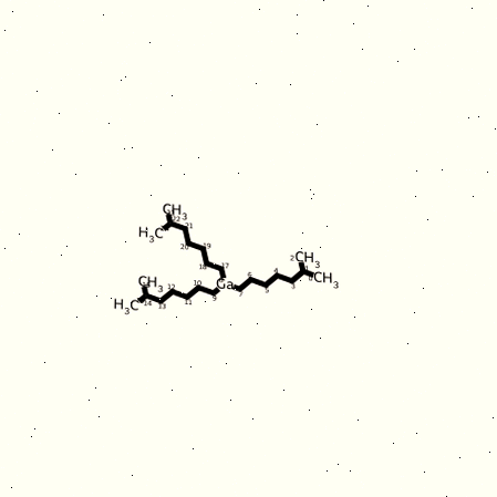 CC(C)CCCC[CH2][Ga]([CH2]CCCCC(C)C)[CH2]CCCCC(C)C